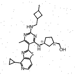 Cc1nc(NCC2CC(C)C2)nc(N[C@H]2CC[C@@H](CO)C2)c1-c1nc2c(C3CC3)nccc2s1